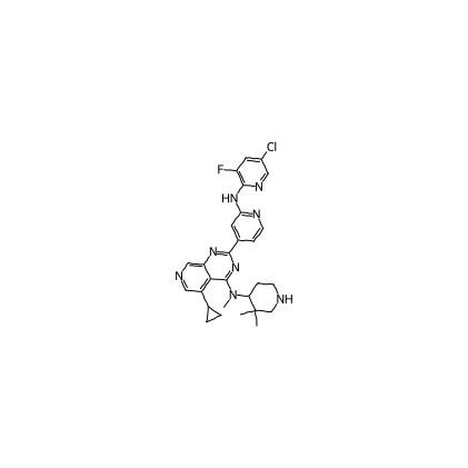 CN(c1nc(-c2ccnc(Nc3ncc(Cl)cc3F)c2)nc2cncc(C3CC3)c12)C1CCNCC1(C)C